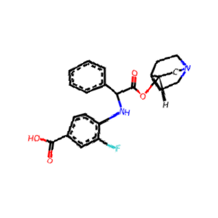 O=C(O)c1ccc(NC(C(=O)O[C@H]2CN3CCC2CC3)c2ccccc2)c(F)c1